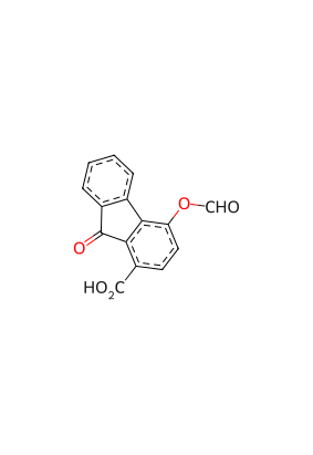 O=COc1ccc(C(=O)O)c2c1-c1ccccc1C2=O